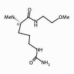 CN[C@@H](CCCNC(N)=O)C(=O)NCCOC